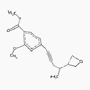 COC(=O)c1ccc(C#CC(C)C2COC2)cc1OC